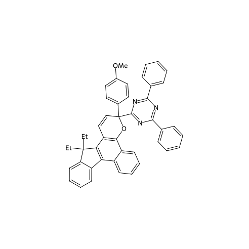 CCC1(CC)c2ccccc2-c2c1c1c(c3ccccc23)OC(c2ccc(OC)cc2)(c2nc(-c3ccccc3)nc(-c3ccccc3)n2)C=C1